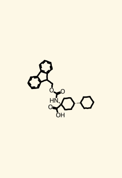 O=C(N[C@]1(C(=O)O)CC[C@H](C2CCCCC2)CC1)OCC1c2ccccc2-c2ccccc21